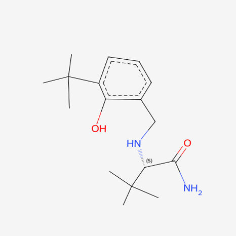 CC(C)(C)c1cccc(CN[C@H](C(N)=O)C(C)(C)C)c1O